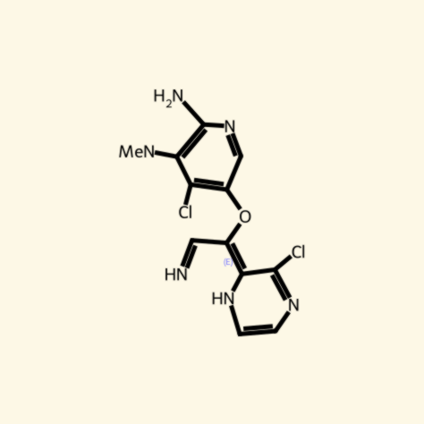 CNc1c(N)ncc(O/C(C=N)=C2/NC=CN=C2Cl)c1Cl